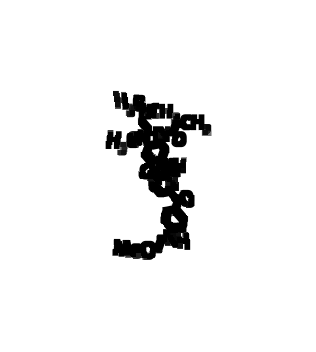 C=CC(=O)Nc1cc(Nc2nccc(C(=O)c3ccc(NCCOC)cc3)n2)c(OC)cc1N(C)CCN(C)C